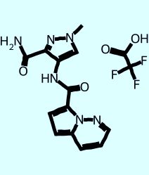 Cn1cc(NC(=O)c2ccc3cccnn23)c(C(N)=O)n1.O=C(O)C(F)(F)F